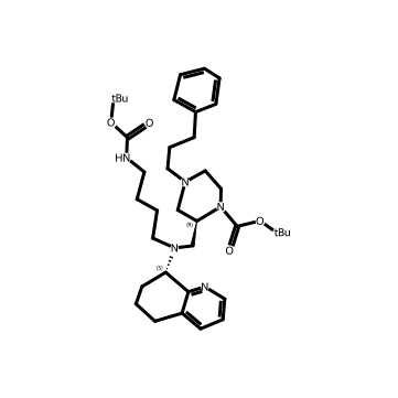 CC(C)(C)OC(=O)NCCCCN(C[C@H]1CN(CCCc2ccccc2)CCN1C(=O)OC(C)(C)C)[C@H]1CCCc2cccnc21